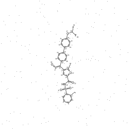 Cc1ccccc1S(=O)(=O)NC(=O)c1cc(C(=S=O)c2ccc(-c3ccc(OC(F)F)cc3)cc2)c(C)o1